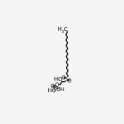 CCCCCCCCCCCCCCCCCCS(=O)(=O)CC(O)COP(=O)(O)O